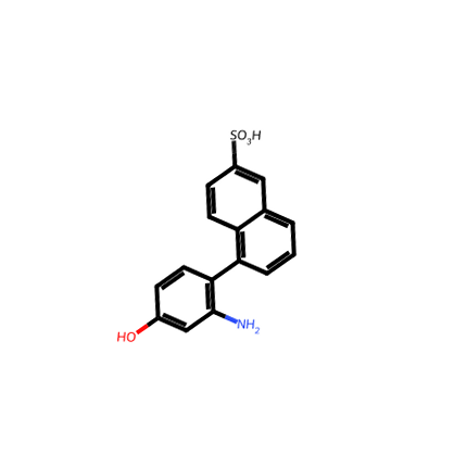 Nc1cc(O)ccc1-c1cccc2cc(S(=O)(=O)O)ccc12